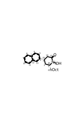 CCCCCCCC[C@@H]1C[C@H](c2ccc3ccccc3c2)CC(=O)N1O